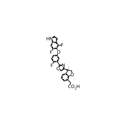 C[C@]1(c2coc(-c3cc(Oc4c(F)cc5[nH]ccc5c4F)ccc3F)n2)COc2c(CC(=O)O)cccc21